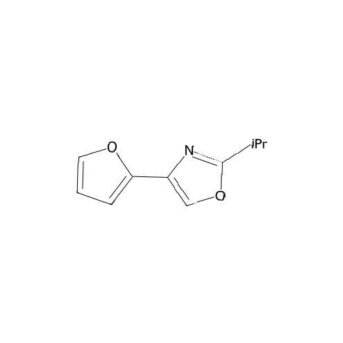 CC(C)c1nc(-c2ccco2)co1